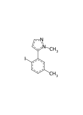 Cc1ccc(I)c(-c2ccnn2C)c1